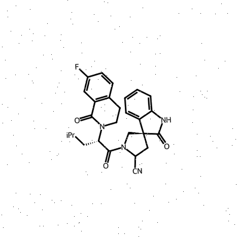 CC(C)C[C@@H](C(=O)N1C[C@]2(CC1C#N)C(=O)Nc1ccccc12)N1CCc2ccc(F)cc2C1=O